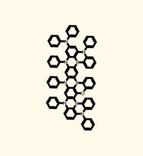 c1ccc(N(c2ccccc2)c2cc3c4c(c2)N(c2ccccc2)c2cc5c(cc2B4c2ccccc2N3c2ccccc2)B2c3ccccc3Oc3c2c(cc2c3B3c4ccccc4N(c4ccccc4)c4cccc(c43)N2c2ccccc2)N5c2ccccc2)cc1